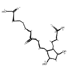 O=C(O)CCCCC(=O)CCC1C(O)CC(O)C1CCC(=O)O